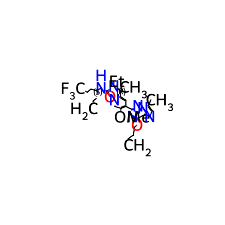 C=CCCOc1nc(-c2cc([C@@H](C)N(CC)C(=O)N[C@H](CC=C)CCC(F)(F)F)ncc2OC)nn2c(C)cnc12